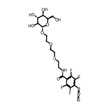 [N-]=[N+]=Nc1c(F)c(F)c(C(=O)NCCOCCOCCO[C@@H]2OC(CO)[C@H](O)[C@H](O)C2O)c(F)c1F